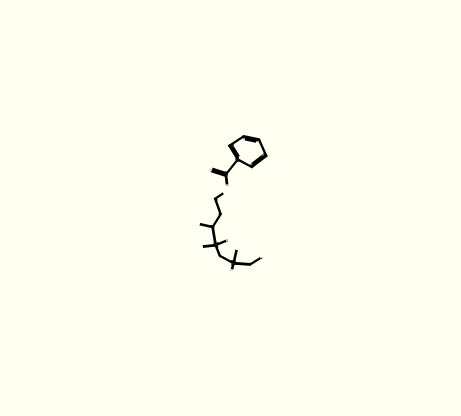 O=C(SCCC(F)C(F)(F)CC(F)(F)CF)c1ccccc1